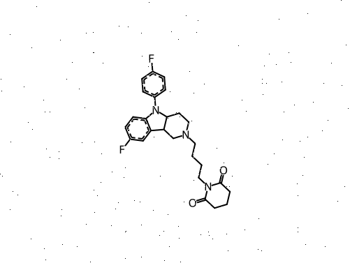 O=C1CCCC(=O)N1CCCCN1CCC2C(C1)c1cc(F)ccc1N2c1ccc(F)cc1